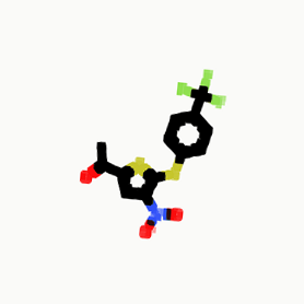 CC(=O)c1cc([N+](=O)[O-])c(Sc2ccc(C(F)(F)F)cc2)s1